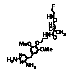 COc1cc(Cc2cnc(N)nc2N)cc(OC)c1OCCCNC(=O)C(C)(C)CCONCCF